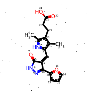 Cc1[nH]c(C=C2C(=O)NN=C2c2ccco2)c(C)c1CCC(=O)O